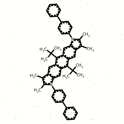 Cc1c(C)n(-c2ccc(-c3ccccc3)cc2)c2cc3c(C(C)(C)C)c4cc5c(C)c(C)n(-c6ccc(-c7ccccc7)cc6)c5cc4c(C(C)(C)C)c3cc12